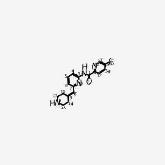 O=C(Nc1cccc(C=C2CCNCC2)n1)c1ccc(F)cn1